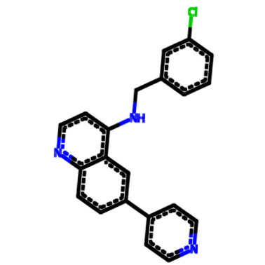 Clc1cccc(CNc2ccnc3ccc(-c4ccncc4)cc23)c1